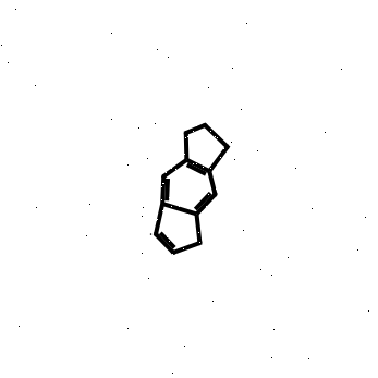 [C]1=CCc2cc3c(cc21)CCC3